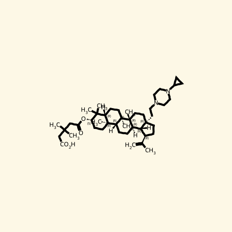 C=C(C)[C@@H]1CC[C@]2(CCN3CCN(C4CC4)CC3)CC[C@]3(C)[C@H](CC[C@@H]4[C@@]5(C)CC[C@H](OC(=O)CC(C)(C)CC(=O)O)C(C)(C)[C@@H]5CC[C@]43C)[C@@H]12